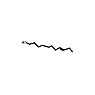 BrCCCCCCCC=CCI